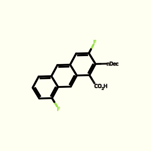 CCCCCCCCCCc1c(F)cc2cc3cccc(F)c3cc2c1C(=O)O